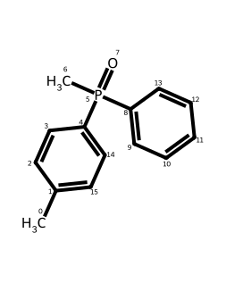 Cc1ccc(P(C)(=O)c2ccccc2)cc1